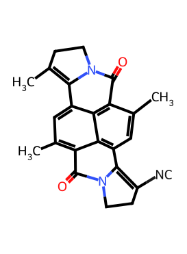 [C-]#[N+]C1=c2c3cc(C)c4c(=O)n5c(c6cc(C)c(c(=O)n2CC1)c3c64)=C(C)CC5